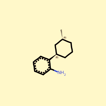 C[C@@H]1CCC[C@@H](c2ccccc2N)C1